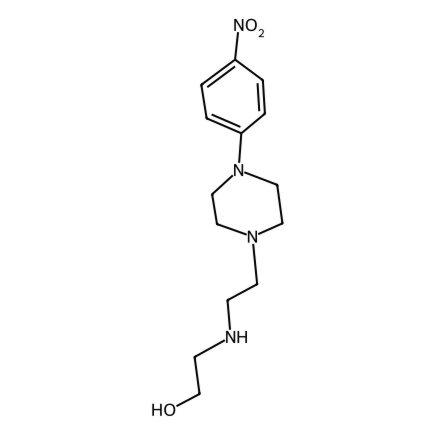 O=[N+]([O-])c1ccc(N2CCN(CCNCCO)CC2)cc1